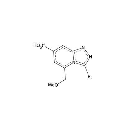 CCc1nnc2cc(C(=O)O)cc(COC)n12